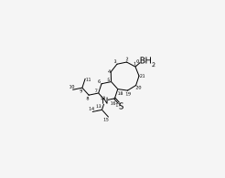 BC1CCCC2CC(CC(C)C)N(C(C)C)C(=S)C2CCC1